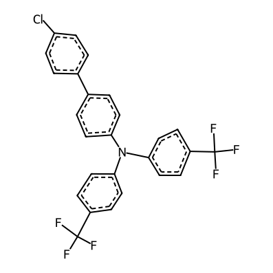 FC(F)(F)c1ccc(N(c2ccc(-c3ccc(Cl)cc3)cc2)c2ccc(C(F)(F)F)cc2)cc1